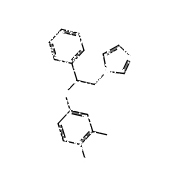 Clc1ccc(SC(Cn2ccnc2)c2ccccc2)cc1Cl